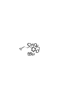 CC(C)(C)c1cc(C(C=O)CCC2CC2)cc2c1OCCC2(C)C